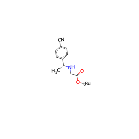 C[C@@H](NCC(=O)OC(C)(C)C)c1ccc(C#N)cc1